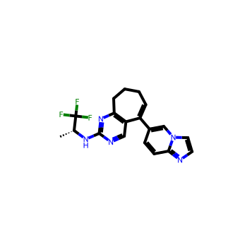 C[C@@H](Nc1ncc2c(n1)CCCC=C2c1ccc2nccn2c1)C(F)(F)F